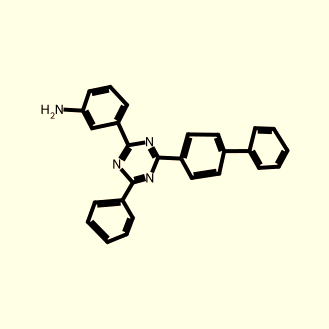 Nc1cccc(-c2nc(-c3ccccc3)nc(-c3ccc(-c4ccccc4)cc3)n2)c1